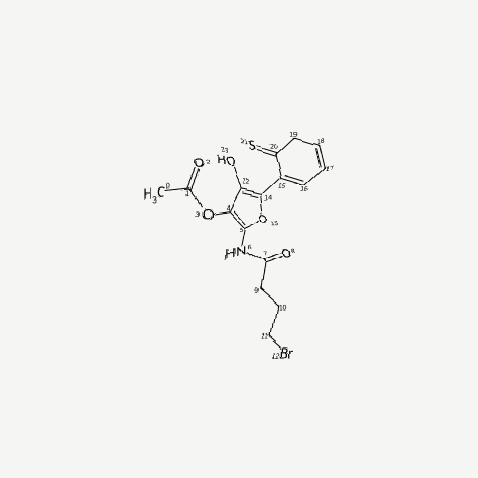 CC(=O)Oc1c(NC(=O)CCCBr)oc(C2=CC=CCC2=S)c1O